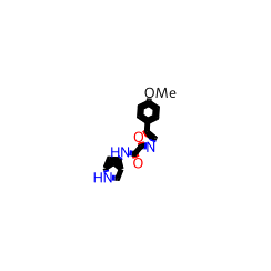 COc1ccc(-c2cnc(C(=O)NC3CC4CC3CN4)o2)cc1